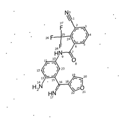 N#Cc1cccc(C(=O)Nc2ccc(N)c(C(=N)c3ccoc3)c2)c1C(F)(F)F